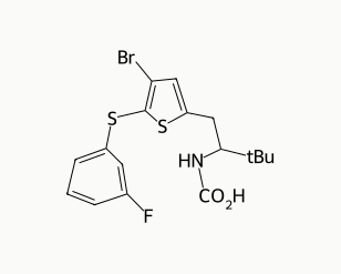 CC(C)(C)C(Cc1cc(Br)c(Sc2cccc(F)c2)s1)NC(=O)O